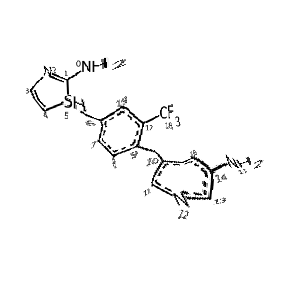 NC1=NC=C[SH]1c1ccc(-c2cncc(N)c2)c(C(F)(F)F)c1